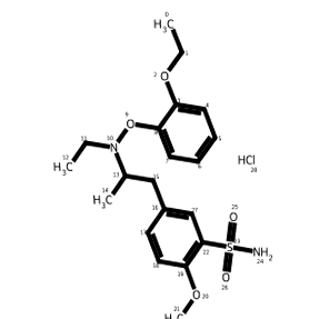 CCOc1ccccc1ON(CC)C(C)Cc1ccc(OC)c(S(N)(=O)=O)c1.Cl